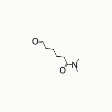 CN(C)C(=O)CCCCC=O